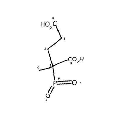 CC(CCC(=O)O)(C(=O)O)P(=O)=O